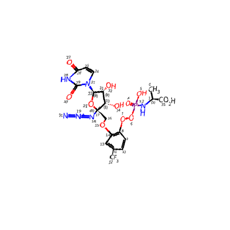 C[C@H](NP(=O)(O)OOc1ccc(C(F)(F)F)cc1OC[C@@]1(N=[N+]=[N-])O[C@@H](n2ccc(=O)[nH]c2=O)[C@H](O)[C@@H]1O)C(=O)O